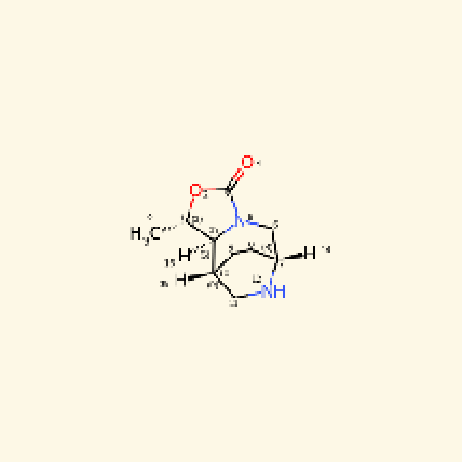 C[C@@H]1OC(=O)N2C[C@H]3CC[C@H](CN3)[C@@H]12